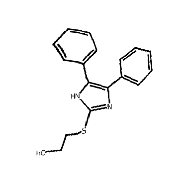 OCCSc1nc(-c2ccccc2)c(-c2ccccc2)[nH]1